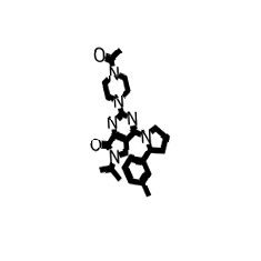 CC(=O)N1CCN(c2nc3c(c(N4CCCC4c4cccc(C)c4)n2)CN(C(C)C)C3=O)CC1